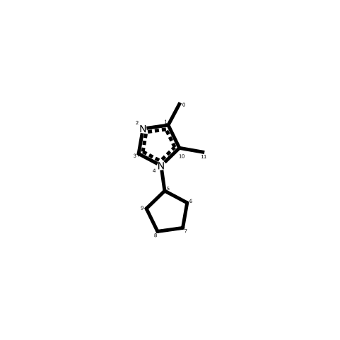 Cc1n[c]n(C2CCCC2)c1C